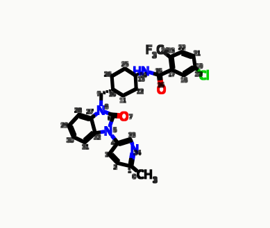 Cc1ccc(-n2c(=O)n(C[C@H]3CC[C@H](NC(=O)c4cc(Cl)ccc4C(F)(F)F)CC3)c3ccccc32)cn1